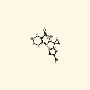 O=c1[nH]c(C2(c3cc(Br)cs3)CC2)nc2c1CNCC2